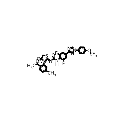 COC(C)c1ccc(C)cc1N1C(=O)CSC1=NC(=O)Nc1c(F)cc(-c2ncn(-c3ccc(OC(F)(F)F)cc3)n2)cc1F